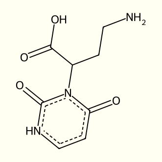 NCCC(C(=O)O)n1c(=O)cc[nH]c1=O